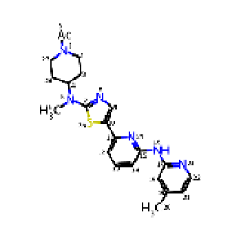 CC(=O)N1CCC(N(C)c2ncc(-c3cccc(Nc4cc(C)ccn4)n3)s2)CC1